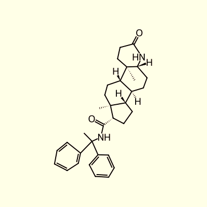 CC(NC(=O)[C@H]1CC[C@H]2[C@@H]3CC[C@H]4NC(=O)CC[C@]4(C)[C@H]3CC[C@]12C)(c1ccccc1)c1ccccc1